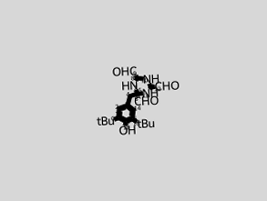 CC(C)(C)c1cc(CC2(C=O)NC(C=O)NC(C=O)N2)cc(C(C)(C)C)c1O